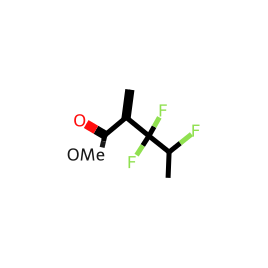 C=C(C(=O)OC)C(F)(F)C(C)F